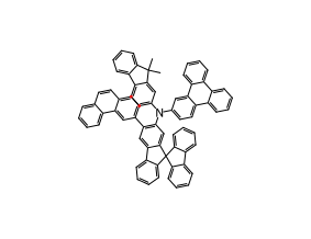 CC1(C)c2ccccc2-c2ccc(N(c3ccc4c5ccccc5c5ccccc5c4c3)c3cc4c(cc3-c3ccc5ccc6ccccc6c5c3)-c3ccccc3C43c4ccccc4-c4ccccc43)cc21